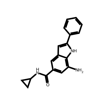 Nc1cc(C(=O)NC2CC2)cc2cc(-c3ccccc3)[nH]c12